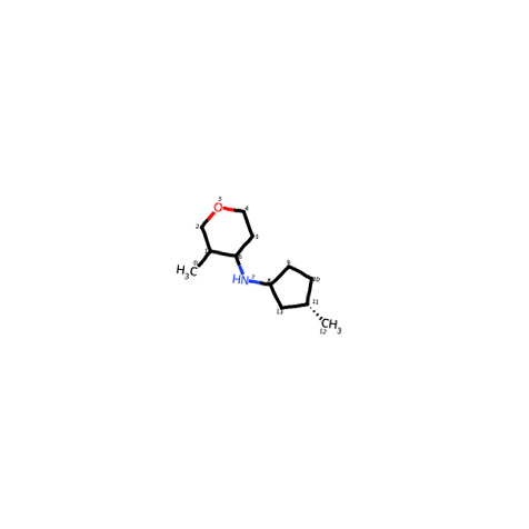 CC1COCCC1NC1CC[C@H](C)C1